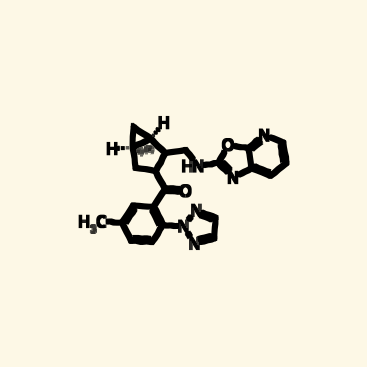 Cc1ccc(-n2nccn2)c(C(=O)C2C[C@H]3C[C@H]3C2CNc2nc3cccnc3o2)c1